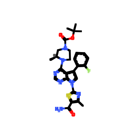 Cc1nc(-n2cc(-c3ccccc3F)c3c(N4CCN(C(=O)OC(C)(C)C)C[C@@H]4C)ncnc32)sc1C(N)=O